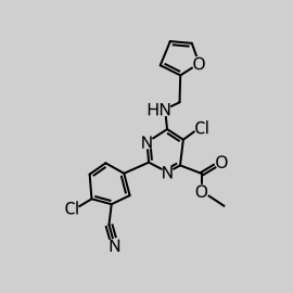 COC(=O)c1nc(-c2ccc(Cl)c(C#N)c2)nc(NCc2ccco2)c1Cl